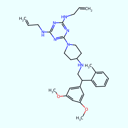 C=CCNc1nc(NCC=C)nc(N2CCC(NCC(c3cc(OC)cc(OC)c3)c3ccccc3C)CC2)n1